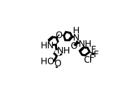 CO[C@H](O)[C@H]1CN[C@@H]([C@@H]2C[C@H](O[C@@H]3CC=C(NC(=O)NC4=CC[C@H](Cl)[C@H](C(F)(F)F)C4)CC3)C=CN2)C1